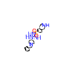 N=C(NC1CCN(Cc2ccccc2)CC1)NS(=O)(=O)c1ccc2c(c1)CCNCC2